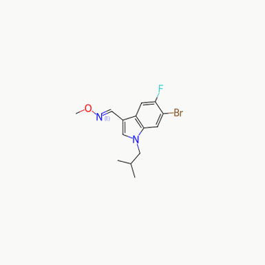 CO/N=C/c1cn(CC(C)C)c2cc(Br)c(F)cc12